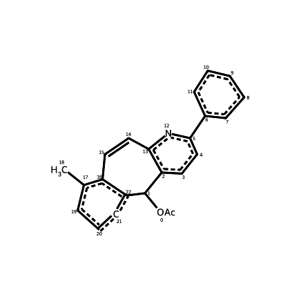 CC(=O)OC1c2ccc(-c3ccccc3)nc2C=Cc2c(C)cccc21